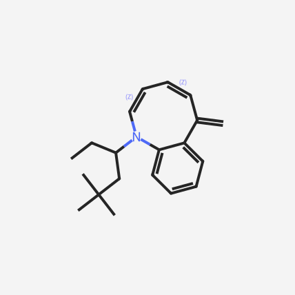 C=C1/C=C\C=C/N(C(CC)CC(C)(C)C)c2ccccc21